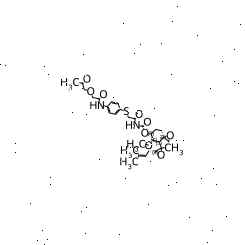 CO[C@H]1[C@H](C2(C)O[C@@H]2CC=C(C)C)[C@]2(CC[C@H]1OC(=O)NC(=O)CSc1ccc(NC(=O)COCC(C)=O)cc1)CO2